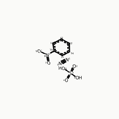 N#N.O=S(=O)(O)O.O=[N+]([O-])c1ccccc1